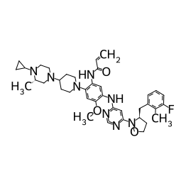 C=CC(=O)Nc1cc(Nc2cc(N3OCC[C@@H]3Cc3cccc(F)c3C)ncn2)c(OC)cc1N1CCC(N2CCN(C3CC3)[C@@H](C)C2)CC1